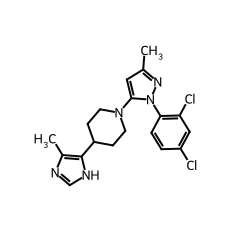 Cc1cc(N2CCC(c3[nH]cnc3C)CC2)n(-c2ccc(Cl)cc2Cl)n1